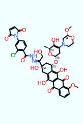 COc1cccc2c1C(=O)c1c(O)c3c(c(O)c1C2=O)C[C@@](O)(/C(CO)=N/NC(=O)c1ccc(N2C(=O)C=CC2=O)cc1Cl)C[C@@H]3O[C@H]1CC(N2CCO[C@@H](OC)C2)=C(O)[C@H](C)O1